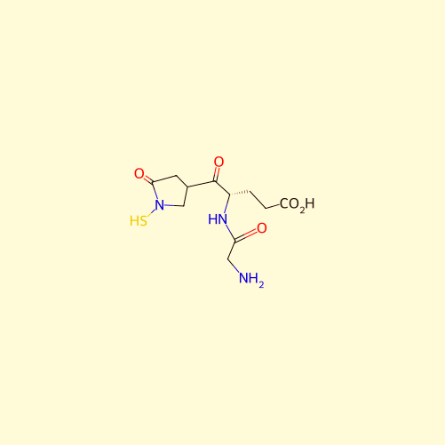 NCC(=O)N[C@@H](CCC(=O)O)C(=O)C1CC(=O)N(S)C1